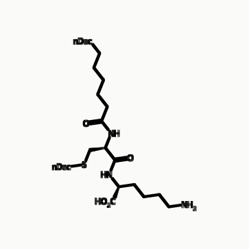 CCCCCCCCCCCCCCCC(=O)N[C@H](CSCCCCCCCCCC)C(=O)N[C@@H](CCCCN)C(=O)O